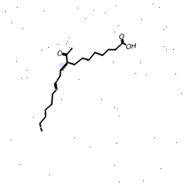 CCCCCCC=CC/C=C(\CCCCCCCC(=O)O)C(C)=O